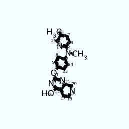 Cc1ccc(N(C)c2ccc(Oc3nc(O)c4ccncc4n3)cc2)nc1